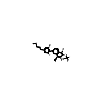 C#Cc1c(F)c(OC(F)(F)F)c(F)c2ccc(-c3c(F)cc(CCCCC)cc3F)cc12